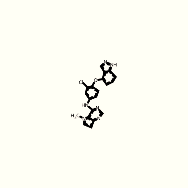 Cn1ccc2ncnc(Nc3ccc(Oc4cccc5[nH]ncc45)c(Cl)c3)c21